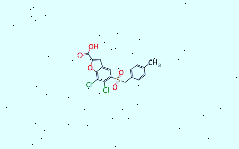 Cc1ccc(CS(=O)(=O)c2cc3c(c(Cl)c2Cl)OC(C(=O)O)C3)cc1